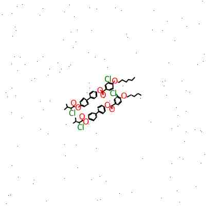 CCCCCCOc1ccc(C(=O)Oc2ccc(-c3ccc(OC(=O)C(Cl)C(C)C)cc3)cc2)cc1Cl.CCCCCOc1ccc(C(=O)Oc2ccc(-c3ccc(OC(=O)C(Cl)C(C)C)cc3)cc2)cc1Cl